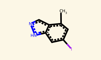 Cc1cc(I)cc2[nH]ncc12